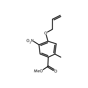 C=CCOc1cc(C)c(C(=O)OC)cc1[N+](=O)[O-]